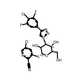 N#Cc1ncc(Cl)cc1S[C@H]1OC(CO)[C@H](O)C(n2cc(-c3cc(F)c(Cl)c(F)c3)nn2)C1O